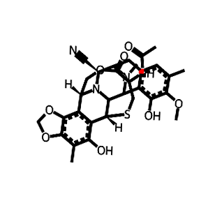 COc1c(C)cc2c(c1O)C1C3[C@@H]4SCC(NC(C)=O)C(=O)OC[C@@H](c5c6c(c(C)c(O)c54)OCO6)N3[C@@H](C#N)C(C2)N1C